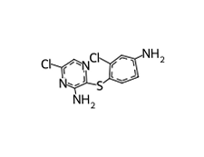 Nc1ccc(Sc2ncc(Cl)nc2N)c(Cl)c1